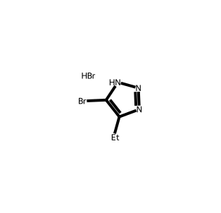 Br.CCc1nn[nH]c1Br